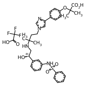 CC(C)(CCn1cnc(-c2ccc(OC(C)(C)C(=O)O)cc2)c1)NC[C@H](O)c1cccc(NS(=O)(=O)c2ccccc2)c1.O=C(O)C(F)(F)F